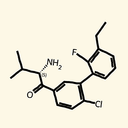 CCc1cccc(-c2cc(C(=O)[C@@H](N)C(C)C)ccc2Cl)c1F